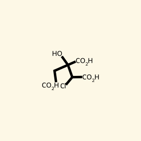 O=C(O)CC(O)(C(=O)O)C(Cl)C(=O)O